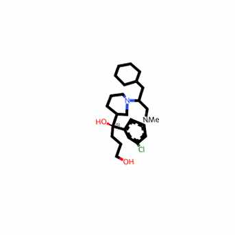 CNCC(CC1CCCCC1)N1CCCC([C@@](O)(CCCO)c2cccc(Cl)c2)C1